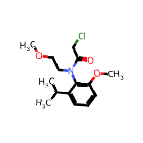 COCCN(C(=O)CCl)c1c(OC)cccc1C(C)C